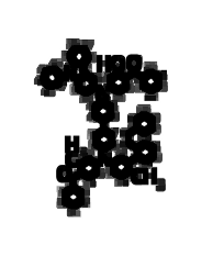 Cc1cc(N(c2ccc(-c3ccc(N(c4ccc(C(=O)c5ccccc5)c(O)c4)c4ccc5c(c4)c4ccccc4n5-c4ccccc4)cc3)cc2)c2ccc(C)c(-c3ccccc3CCc3ccccc3)c2)ccc1C(=O)c1ccccc1